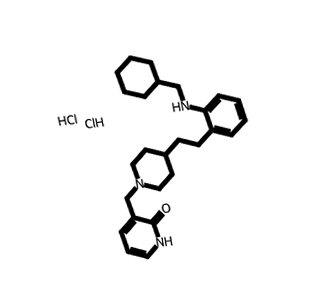 Cl.Cl.O=c1[nH]cccc1CN1CCC(CCc2ccccc2NCC2CCCCC2)CC1